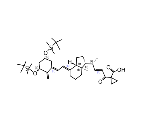 C=C1/C(=C/C=C2\CCC[C@]3(C)[C@@H]([C@H](C)/C=C/C(=O)C4(C(=O)O)CC4)CC[C@@H]23)C[C@@H](O[Si](C)(C)C(C)(C)C)C[C@@H]1O[Si](C)(C)C(C)(C)C